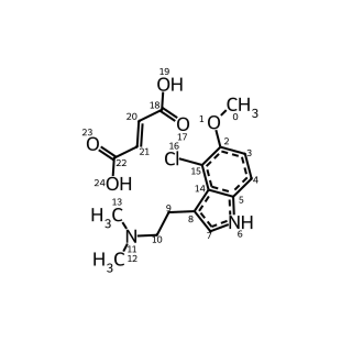 COc1ccc2[nH]cc(CCN(C)C)c2c1Cl.O=C(O)C=CC(=O)O